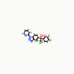 OC(c1ccc(F)c(F)c1)(c1ccc2c(cnn2-c2ccccn2)c1)C(F)(F)F